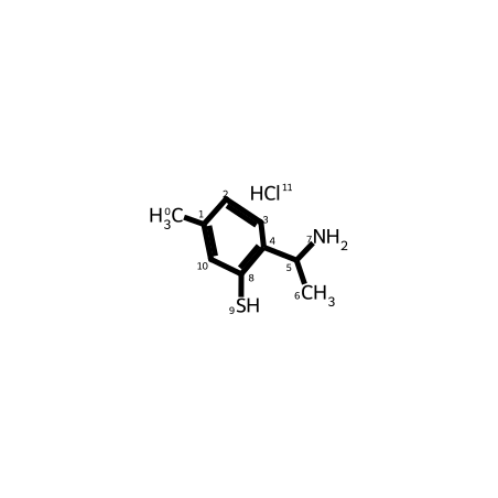 Cc1ccc(C(C)N)c(S)c1.Cl